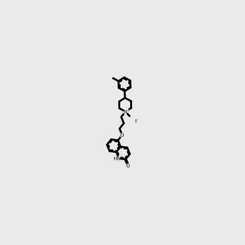 Cc1cccc(C2CC[N+](C)(CCCOc3cccc4[nH]c(=O)ccc34)CC2)c1.[I-]